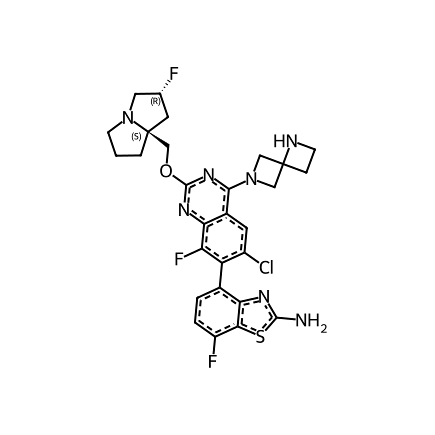 Nc1nc2c(-c3c(Cl)cc4c(N5CC6(CCN6)C5)nc(OC[C@@]56CCCN5C[C@H](F)C6)nc4c3F)ccc(F)c2s1